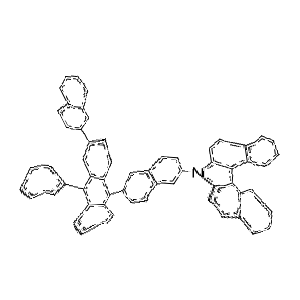 c1ccc(-c2c3ccccc3c(-c3ccc4cc(-n5c6ccc7ccccc7c6c6c7ccccc7ccc65)ccc4c3)c3ccc(-c4ccc5ccccc5c4)cc23)cc1